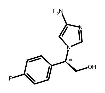 Nc1cn([C@@H](CO)c2ccc(F)cc2)cn1